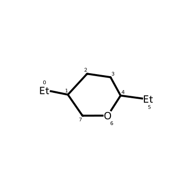 CCC1CCC(CC)OC1